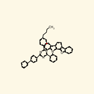 CCCCc1ccc(-c2nc(-c3ccc(-c4ccccc4)cc3)nc(-c3ccccc3-n3c4ccccc4c4ccc5c6ccccc6oc5c43)n2)cc1